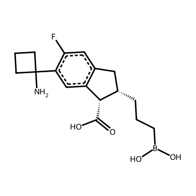 NC1(c2cc3c(cc2F)C[C@H](CCCB(O)O)[C@@H]3C(=O)O)CCC1